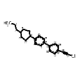 CCCC1CCC(c2ccc(-c3ccc(C#CCl)cc3)cc2)CC1